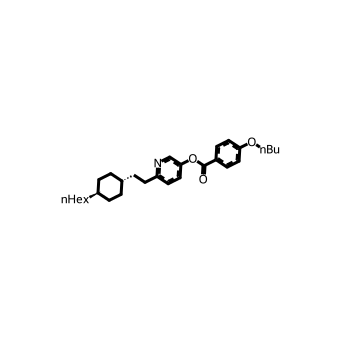 CCCCCC[C@H]1CC[C@H](CCc2ccc(OC(=O)c3ccc(OCCCC)cc3)cn2)CC1